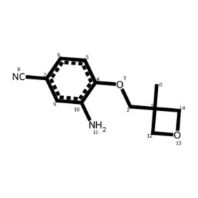 CC1(COc2ccc(C#N)cc2N)COC1